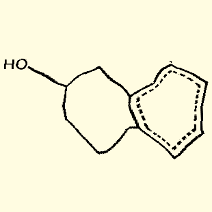 OC1CCc2ccc[c]c2C1